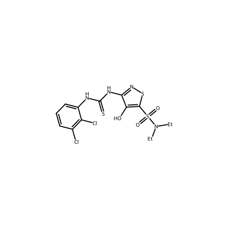 CCN(CC)S(=O)(=O)c1snc(NC(=S)Nc2cccc(Cl)c2Cl)c1O